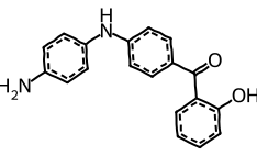 Nc1ccc(Nc2ccc(C(=O)c3ccccc3O)cc2)cc1